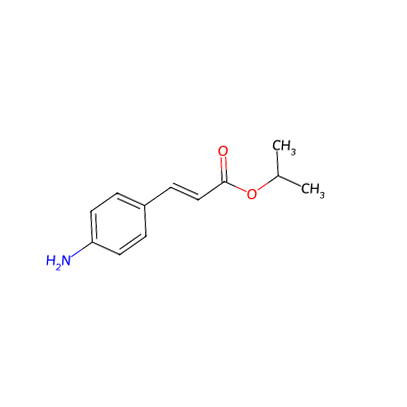 CC(C)OC(=O)C=Cc1ccc(N)cc1